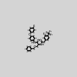 O=C(Cc1ccc(C(F)(F)F)c(F)c1)NC(COCc1ccccc1)C(=O)Nc1ccc(Oc2ccc(F)cc2)cc1